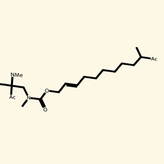 CNC(C)(CN(C)C(=O)OC/C=C/CCCCCCC(C)C(C)=O)C(C)=O